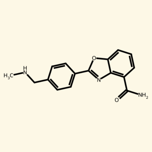 CNCc1ccc(-c2nc3c(C(N)=O)cccc3o2)cc1